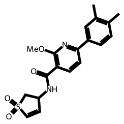 COc1nc(-c2ccc(C)c(C)c2)ccc1C(=O)NC1C=CS(=O)(=O)C1